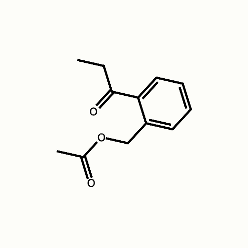 CCC(=O)c1ccccc1COC(C)=O